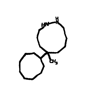 CC1(C2CCCCCCCC2)CCCCNNCCC1